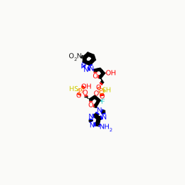 Nc1ncnc2c1ncn2[C@@H]1O[C@H](COP(=O)(O)S)[C@@H](OP(=O)(S)OC[C@H]2O[C@@H](n3nnc4c([N+](=O)[O-])cccc43)C[C@@H]2O)[C@H]1F